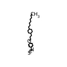 CCCCCCCCC1CCC(CCCOc2ccc(N=C=S)cc2)CC1